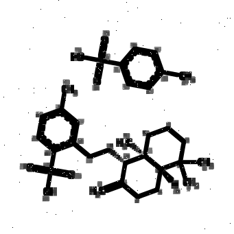 C=C1CC[C@H]2C(C)(C)CCC[C@]2(C)[C@H]1CCc1cc(C)ccc1S(=O)(=O)O.Cc1ccc(S(=O)(=O)O)cc1